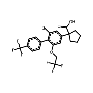 O=C(O)C1(c2cc(Cl)c(-c3ccc(C(F)(F)F)cc3)c(OCC(F)(F)F)c2)CCCC1